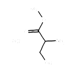 CCCOC(=O)C(N)CO.Cl